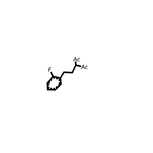 CC(=O)C(CCc1ccccc1F)C(C)=O